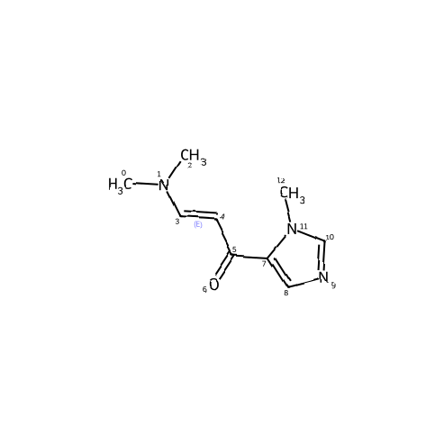 CN(C)/C=C/C(=O)c1cncn1C